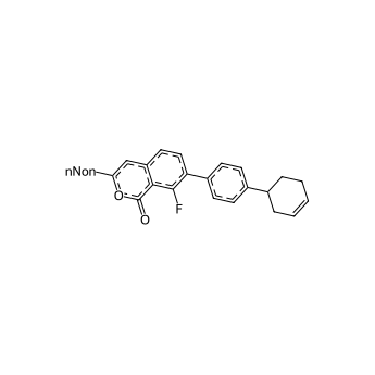 CCCCCCCCCc1cc2ccc(-c3ccc(C4CC=CCC4)cc3)c(F)c2c(=O)o1